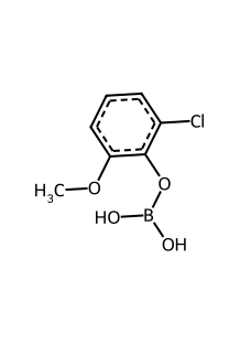 COc1cccc(Cl)c1OB(O)O